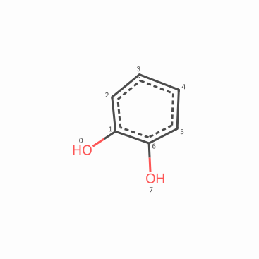 Oc1c[c]ccc1O